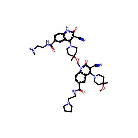 COC1(C)CCN(c2c(C#N)c(=O)n(COC3(C)CCN(c4c(C#N)c(=O)[nH]c5ccc(C(=O)NCCN(C)C)cc45)CC3)c3ccc(C(=O)NCCN4CCCC4)cc23)CC1